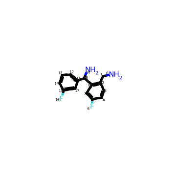 NCc1ccc(F)cc1C(N)c1cc[c]c(F)c1